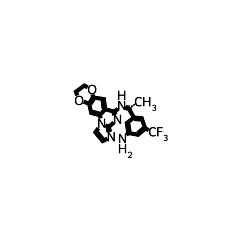 C[C@@H](Nc1nc2nccn2c2cc3c(cc12)OCCO3)c1cc(N)cc(C(F)(F)F)c1